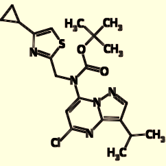 CC(C)c1cnn2c(N(Cc3nc(C4CC4)cs3)C(=O)OC(C)(C)C)cc(Cl)nc12